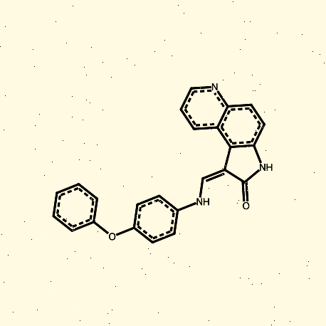 O=C1Nc2ccc3ncccc3c2C1=CNc1ccc(Oc2ccccc2)cc1